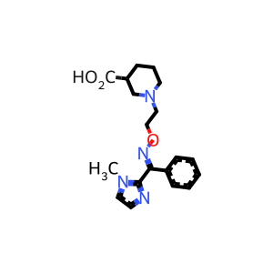 Cn1ccnc1C(=NOCCN1CCCC(C(=O)O)C1)c1ccccc1